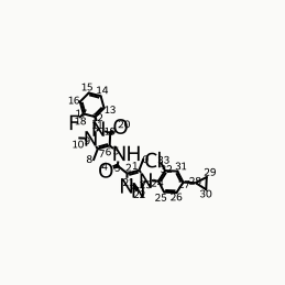 Cc1c(C(=O)Nc2c(C)n(C)n(-c3ccccc3F)c2=O)nnn1-c1ccc(C2CC2)cc1Cl